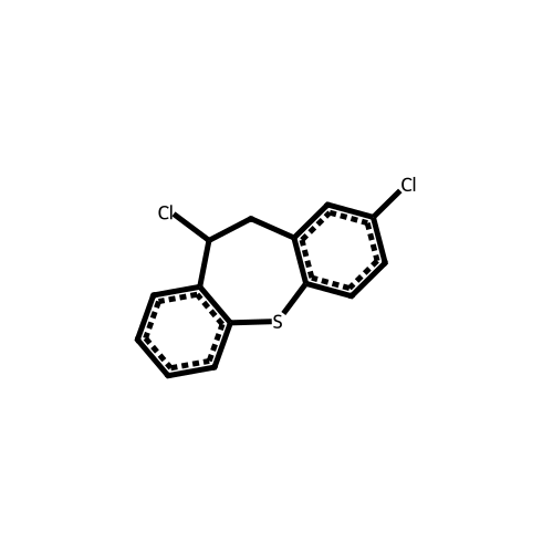 Clc1ccc2c(c1)CC(Cl)c1ccccc1S2